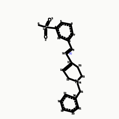 CS(=O)(=O)c1cccc(/C=C/C2=CCN(Cc3ccccc3)CC2)c1